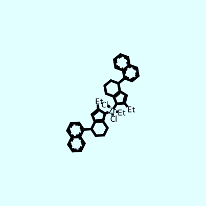 CCC1=CC2=C(CCCC2c2cccc3ccccc23)[CH]1[Zr]([Cl])([Cl])([CH2]C)[CH]1C(CC)=CC2=C1CCCC2c1cccc2ccccc12